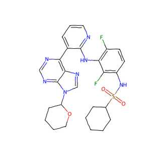 O=S(=O)(Nc1ccc(F)c(Nc2ncccc2-c2ncnc3c2ncn3C2CCCCO2)c1F)C1CCCCC1